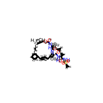 CO[C@@]12C[C@@H](C(=O)N[C@]3(C(=O)NS(=O)(=O)C4CC4)C[C@H]3C3CC3)N(C1)C(=O)[C@H](C(C)(C)C)NC(=O)OCC(C)(C)CCCCc1ccccc1-c1ccc2cc1